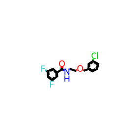 O=C(NCCOCc1cccc(Cl)c1)c1cc(F)cc(F)c1